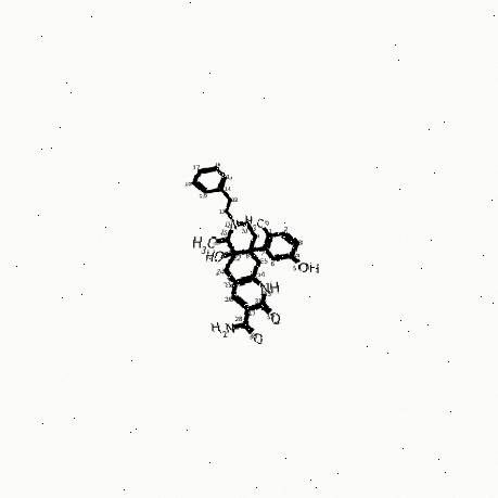 Cc1ccc(O)cc1C12CCN(CCc3ccccc3)C(C)C1(O)Cc1cc(C(N)=O)c(=O)[nH]c1C2